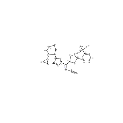 N#C/N=C(/c1cnn(C2CCNCC2C2CC2)c1)N1CCC(c2ccccc2C(F)(F)F)C1